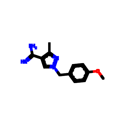 COc1ccc(Cn2cc(C(=N)N)c(C)n2)cc1